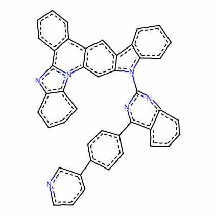 c1cncc(-c2ccc(-c3nc(-n4c5ccccc5c5cc6c7ccccc7c7nc8ccccc8n7c6cc54)nc4ccccc34)cc2)c1